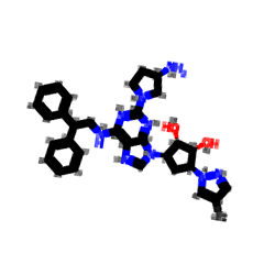 CCc1cnn([C@H]2C[C@@H](n3cnc4c(NCC(c5ccccc5)c5ccccc5)nc(N5CC[C@@H](N)C5)nc43)[C@H](O)[C@@H]2O)c1